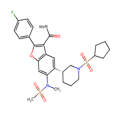 CNC(=O)c1c(-c2ccc(F)cc2)oc2cc(N(C)S(C)(=O)=O)c([C@H]3CCCN(S(=O)(=O)C4CCCC4)C3)cc12